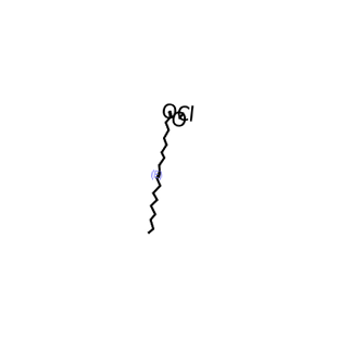 CCCCCCCC/C=C/CCCCCCCC(=O)OCl